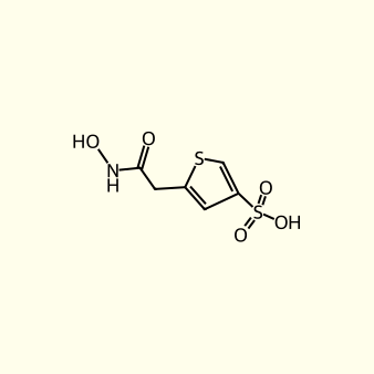 O=C(Cc1cc(S(=O)(=O)O)cs1)NO